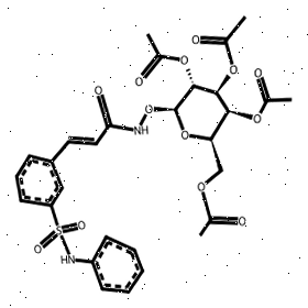 CC(=O)OC[C@H]1O[C@@H](ONC(=O)/C=C/c2cccc(S(=O)(=O)Nc3ccccc3)c2)[C@H](OC(C)=O)[C@@H](OC(C)=O)[C@H]1OC(C)=O